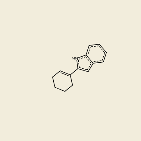 C1=C(c2cc3ccccc3[nH]2)CCCC1